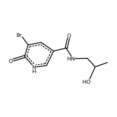 CC(O)CNC(=O)c1c[nH]c(=O)c(Br)c1